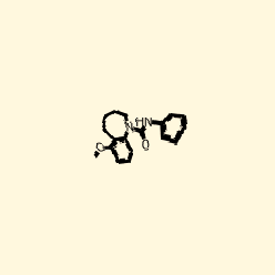 COc1cccc2c1CCCCN2C(=O)Nc1ccccc1